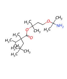 CC(C)C(C)(CC(C)(C)C)C(=O)OC(C)(C)CCOC(C)(C)N